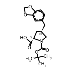 CC(C)(C)OC(=O)N1C[C@H](Cc2ccc3c(c2)OCO3)C[C@H]1C(=O)O